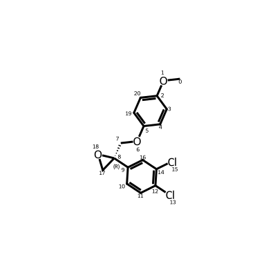 COc1ccc(OC[C@]2(c3ccc(Cl)c(Cl)c3)CO2)cc1